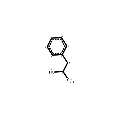 CC(O)Cc1[c]cccc1